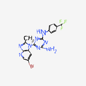 Cc1nc2ncc(Br)cc2n1-c1nc(N)nc(Nc2ccc(C(F)(F)F)cc2)n1